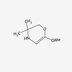 COC1=CNC(C)(C)CO1